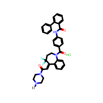 CCN1CCN(C(=O)/C=C2/c3ccccc3N(C(=O)c3ccc(NC(=O)c4ccccc4-c4ccccc4)cc3)CCC2(F)F)CC1.Cl